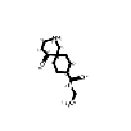 CCOC(=O)C1CCC2(CC1)CNCCC2=O